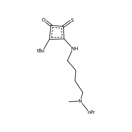 CCCN(C)CCCCNc1c(C(C)(C)C)c(=O)c1=S